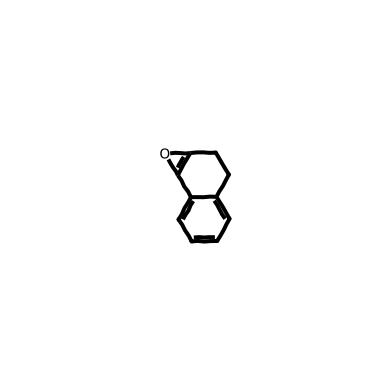 c1ccc2c(c1)CCC1=C2O1